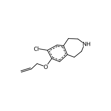 C=CCOc1cc2c(cc1Cl)CCNCC2